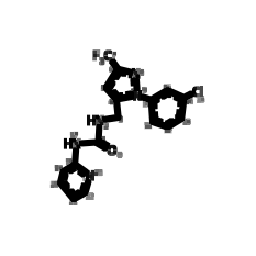 O=C(NCc1cc(C(F)(F)F)nn1-c1cccc(Cl)c1)Nc1ccccn1